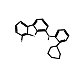 Fc1cccc2c1sc1c(N(I)c3ccccc3C3CCCCC3)cccc12